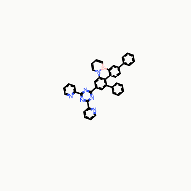 C1=CB2c3cc(-c4ccccc4)ccc3-c3c(-c4ccccc4)cc(-c4nc(-c5ccccn5)nc(-c5ccccn5)n4)cc3N2C=C1